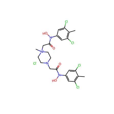 Cc1c(Cl)cc(N(O)C(=O)CN2CC[N+](C)(CC(=O)N(O)c3cc(Cl)c(C)c(Cl)c3)CC2)cc1Cl.[Cl-]